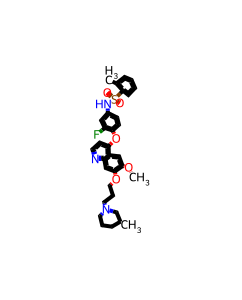 COc1cc2c(Oc3ccc(NS(=O)(=O)c4ccccc4C)cc3F)ccnc2cc1OCCCN1CCCC(C)C1